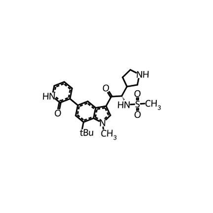 Cn1cc(C(=O)[C@@H](NS(C)(=O)=O)C2CCNC2)c2cc(-c3ccc[nH]c3=O)cc(C(C)(C)C)c21